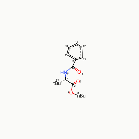 CCCCOC(=O)[C@@H](NC(=O)c1ccccc1)C(C)(C)C